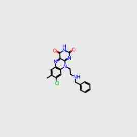 Cc1cc2nc3c(=O)[nH]c(=O)nc-3n(CCNCc3ccccc3)c2cc1Cl